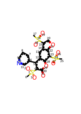 CS(=O)(=O)c1c(-c2cccnc2)c2cc3c(S(C)(=O)=O)coc3c(S(C)(=O)=O)c2oc1=O